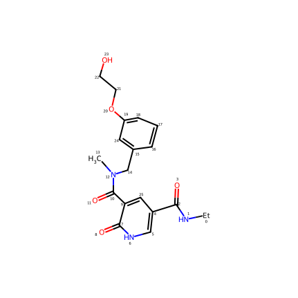 CCNC(=O)c1c[nH]c(=O)c(C(=O)N(C)Cc2cccc(OCCO)c2)c1